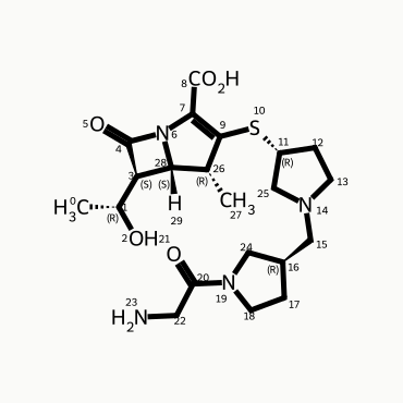 C[C@@H](O)[C@H]1C(=O)N2C(C(=O)O)=C(S[C@@H]3CCN(C[C@H]4CCN(C(=O)CN)C4)C3)[C@H](C)[C@H]12